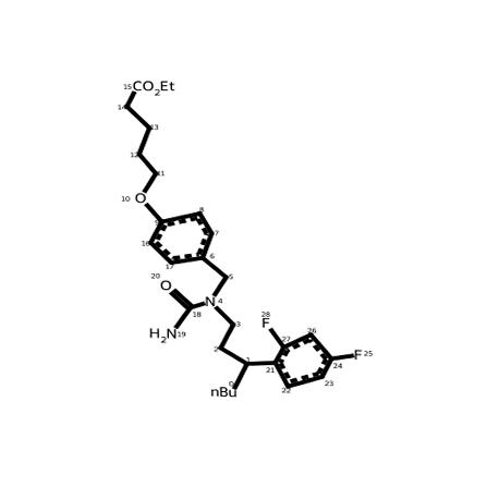 CCCCC(CCN(Cc1ccc(OCCCCC(=O)OCC)cc1)C(N)=O)c1ccc(F)cc1F